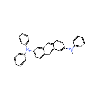 CN(c1ccccc1)c1ccc2cc3cc(N(c4ccccc4)c4ccccc4)ccc3cc2c1